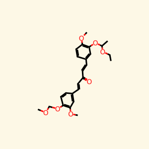 CCOC(C)Oc1cc(C=CC(=O)C=Cc2ccc(OCOC)c(OC)c2)ccc1OC